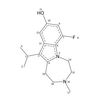 CC(C)c1c2n(c3c(F)cc(O)cc13)CCN(C)CC2